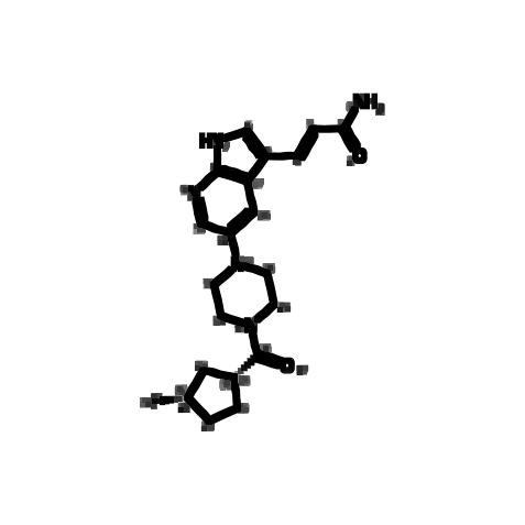 NC(=O)C=Cc1c[nH]c2ncc(N3CCN(C(=O)[C@@H]4CC[C@H](F)C4)CC3)cc12